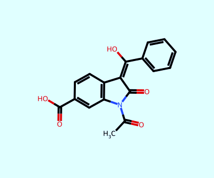 CC(=O)N1C(=O)C(=C(O)c2ccccc2)c2ccc(C(=O)O)cc21